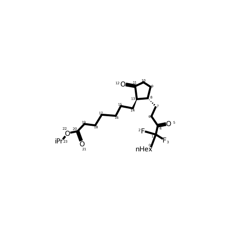 CCCCCCC(F)(F)C(=O)CC[C@H]1CCC(=O)[C@@H]1CCCCCCC(=O)OC(C)C